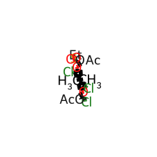 CCS(=O)(=O)C[C@@H](COc1ccc(C(C)(C)c2ccc(OC[C@@H](CCl)OC(C)=O)c(Cl)c2)cc1Cl)OC(C)=O